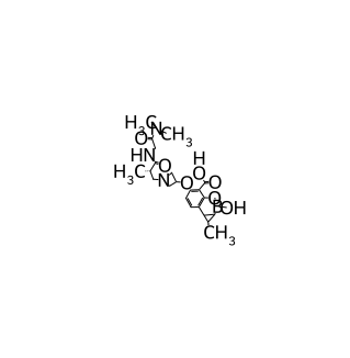 C[C@@H]1C2B(O)Oc3c(ccc(OC4CN(C[C@H](C)C(=O)NCC(=O)N(C)C)C4)c3C(=O)O)C21